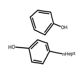 CCCCCCCc1ccc(O)cc1.Oc1ccccc1